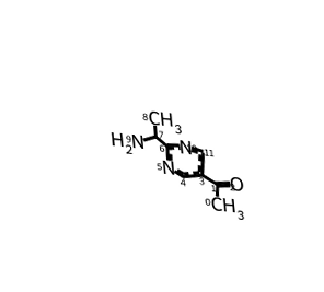 CC(=O)c1cnc(C(C)N)nc1